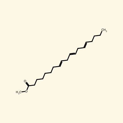 CCCCC=CCC=CCC=CCCCCCCC(=O)OC